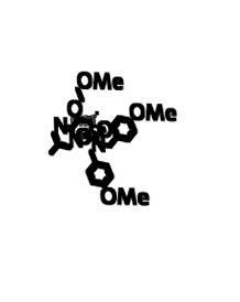 COCCO[C@H](c1ncc(C)cn1)[C@H](C)S(=O)(=O)N(Cc1ccc(OC)cc1)Cc1ccc(OC)cc1